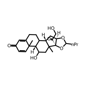 CCCC1O[C@@H]2C[C@H]3C4CCC5=CC(=O)C=CC5(C)[C@H]4C(O)CC3(C)[C@]2(C(=O)CO)O1